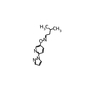 CC(C)CC=NOc1ccc(-n2cccn2)nc1